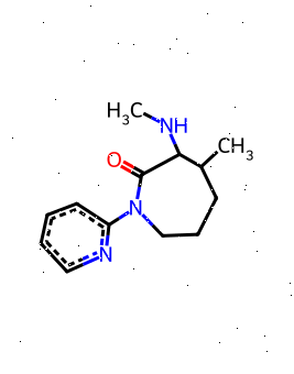 CNC1C(=O)N(c2ccccn2)CCCC1C